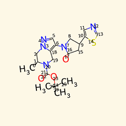 C[C@H]1Cn2ncc(N3CC(c4cncs4)CC3=O)c2CN1C(=O)OC(C)(C)C